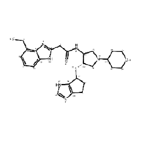 O=C(Cc1nc2c(CF)cccc2[nH]1)NC1CN(C2CCOCC2)C[C@@H]1SC1CCc2nc[nH]c21